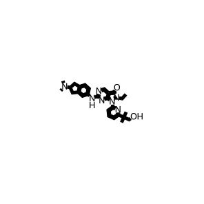 CCn1c(=O)c2cnc(Nc3ccc4c(c3)CC(N(C)C)C4)nc2n1-c1cccc(C(C)(C)CO)n1